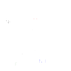 C=CCOc1cc(N)c(F)cc1C#N